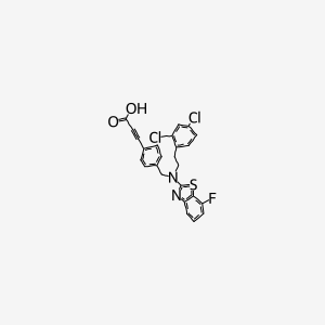 O=C(O)C#Cc1ccc(CN(CCc2ccc(Cl)cc2Cl)c2nc3cccc(F)c3s2)cc1